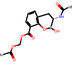 CCCCC(=O)N[C@H]1Cc2cccc(C(=O)OCOC(=O)C(C)(C)C)c2OB1O